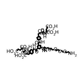 NCCOCCOCCOCCOCc1cn(-c2cc(C(=O)Nc3ccc(C[C@H](NC(=O)N[C@@H](CCC(=O)O)C(=O)O)C(=O)O)cc3)cc(C(=O)Nc3ccc(C[C@H](NC(=O)N[C@@H](CCC(=O)O)C(=O)O)C(=O)O)cc3)c2)nn1